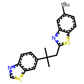 CC(C)(C)c1ccc2sc(CC(C)(C)c3ccc4ncsc4c3)nc2c1